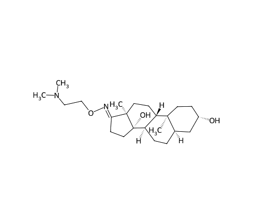 CN(C)CCON=C1CC[C@]2(O)[C@@H]3CC[C@@H]4C[C@@H](O)CC[C@]4(C)[C@H]3CC[C@]12C